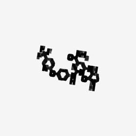 NC(=O)c1cc(N[C@H]2CCNC2=O)nc(Nc2ccc(Oc3ccc(C(F)(F)F)cn3)cc2)n1